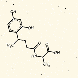 CC(NC(=O)CCC(C)c1ccc(O)cc1O)C(=O)O